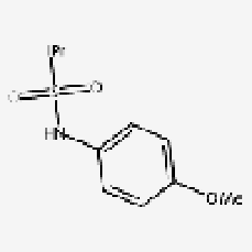 COc1ccc(NS(=O)(=O)C(C)C)cc1